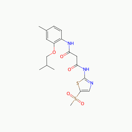 Cc1ccc(NC(=O)CC(=O)Nc2ncc(S(C)(=O)=O)s2)c(OCC(C)C)c1